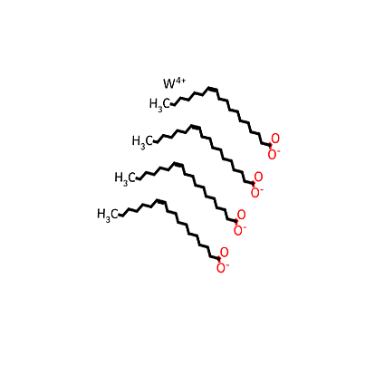 CCCCCC/C=C\CCCCCCCCCC(=O)[O-].CCCCCC/C=C\CCCCCCCCCC(=O)[O-].CCCCCC/C=C\CCCCCCCCCC(=O)[O-].CCCCCC/C=C\CCCCCCCCCC(=O)[O-].[W+4]